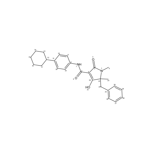 CN1C(=O)C(C(=O)Nc2ccc(C3CCCCC3)cc2)=C(O)C1(C)Cc1ccccc1